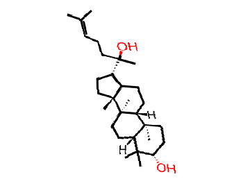 CC(C)=CCCC(C)(O)[C@H]1CC[C@]2(C)C1CC[C@@H]1[C@@]3(C)CC[C@H](O)C(C)(C)[C@@H]3CC[C@]12C